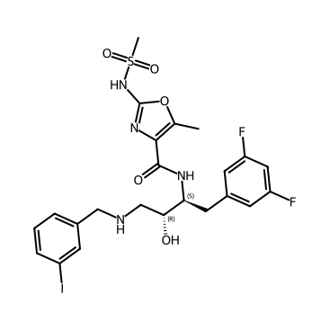 Cc1oc(NS(C)(=O)=O)nc1C(=O)N[C@@H](Cc1cc(F)cc(F)c1)[C@H](O)CNCc1cccc(I)c1